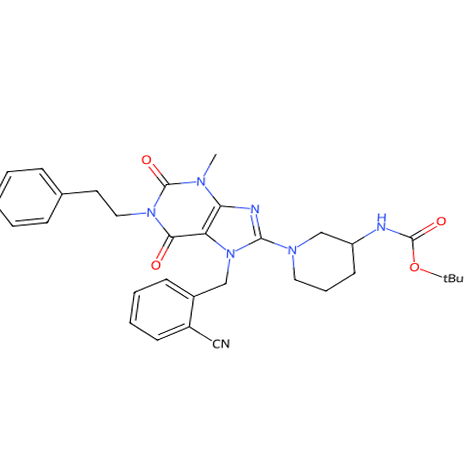 Cn1c(=O)n(CCc2ccccc2)c(=O)c2c1nc(N1CCCC(NC(=O)OC(C)(C)C)C1)n2Cc1ccccc1C#N